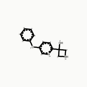 OC1(c2ccc(Oc3ccccc3)cn2)CNC1